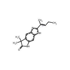 CC/C=C(\C)c1nc2cc3c(cc2[nH]1)NC(=O)C3(C)C